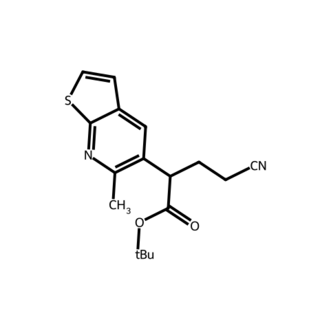 Cc1nc2sccc2cc1C(CCC#N)C(=O)OC(C)(C)C